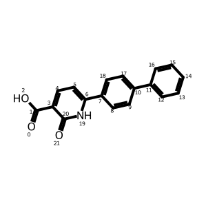 O=C(O)c1ccc(-c2ccc(-c3ccccc3)cc2)[nH]c1=O